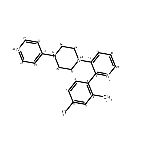 Cc1cc(Cl)ccc1-c1ncccc1N1CCN(c2ccncc2)CC1